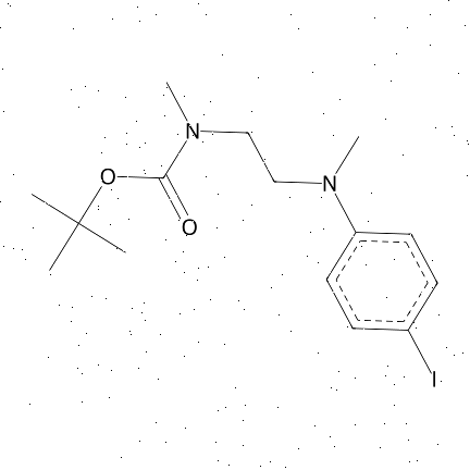 CN(CCN(C)c1ccc(I)cc1)C(=O)OC(C)(C)C